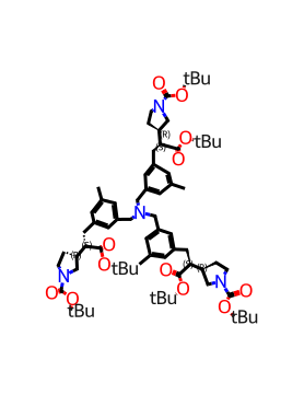 Cc1cc(C[C@H](C(=O)OC(C)(C)C)[C@H]2CCN(C(=O)OC(C)(C)C)C2)cc(CN(Cc2cc(C)cc(C[C@H](C(=O)OC(C)(C)C)[C@H]3CCN(C(=O)OC(C)(C)C)C3)c2)Cc2cc(C)cc(C[C@H](C(=O)OC(C)(C)C)[C@H]3CCN(C(=O)OC(C)(C)C)C3)c2)c1